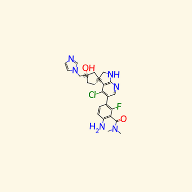 CN(C)C(=O)c1c(N)ccc(-c2cnc3c(c2Cl)[C@]2(CC[C@@](O)(Cn4ccnc4)C2)CN3)c1F